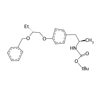 [CH2]C[C@H](COc1ccc(C[C@@H](C)NC(=O)OC(C)(C)C)cc1)OCc1ccccc1